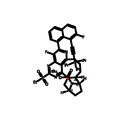 CCS(=O)(=O)c1nc2c3c(nc(-c4cccc5ccc(F)c(C#C[Si](C(C)C)(C(C)C)C(C)C)c45)c(F)c3n1)CCC[C@@H]1[C@@H]3CC[C@H](CN21)N3C(=O)OC(C)(C)C